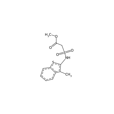 COC(=O)CS(=O)(=O)Nc1sc2ccccc2c1C